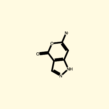 [N]c1cc2[nH]ncc2c(=O)o1